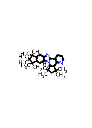 CC1(C)CC(C)(C)c2c1c1ncccc1c1nc3cc4c(cc3n21)C(C)(C)C(C)(C)C4(C)C